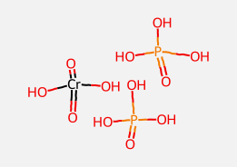 O=P(O)(O)O.O=P(O)(O)O.[O]=[Cr](=[O])([OH])[OH]